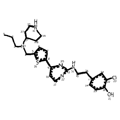 CCCN(Cc1ccc(-c2ccnc(NCCc3ccc(O)c(Cl)c3)n2)s1)C1CCNCC1